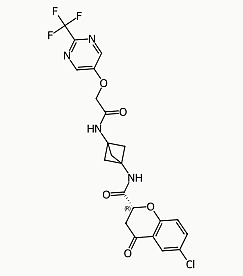 O=C(COc1cnc(C(F)(F)F)nc1)NC12CC(NC(=O)[C@H]3CC(=O)c4cc(Cl)ccc4O3)(C1)C2